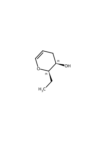 CC[C@H]1OC=CC[C@H]1O